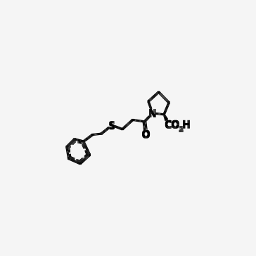 O=C(O)[C@@H]1CCCN1C(=O)CCSCCc1ccccc1